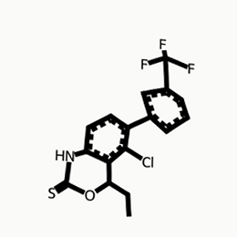 CCC1OC(=S)Nc2ccc(-c3cccc(C(F)(F)F)c3)c(Cl)c21